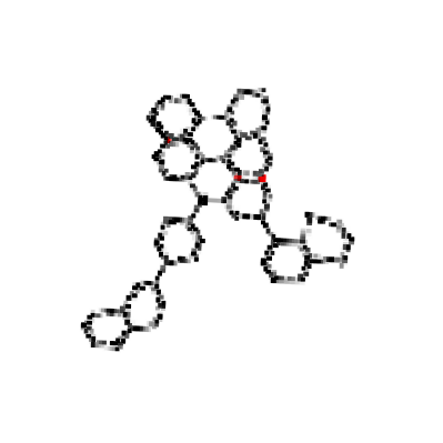 c1ccc(-c2cccc3cccc(-c4ccccc4N(c4ccc(-c5ccc6ccccc6c5)cc4)c4cccc(-c5cccc6ccccc56)c4)c23)cc1